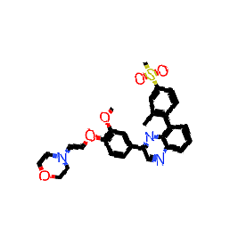 COc1cc(-c2cnc3cccc(-c4ccc(S(C)(=O)=O)cc4C)c3n2)ccc1OCCN1CCOCC1